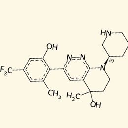 Cc1cc(C(F)(F)F)cc(O)c1-c1cc2c(nn1)N([C@@H]1CCCNC1)CCC2(C)O